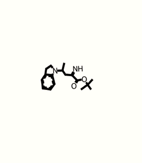 CC(CC(=N)C(=O)OC(C)(C)C)N1CCc2ccccc21